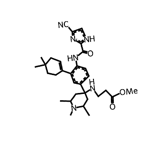 COC(=O)CCNC1(c2ccc(NC(=O)c3nc(C#N)c[nH]3)c(C3=CCC(C)(C)CC3)c2)CC(C)N(C)C(C)C1